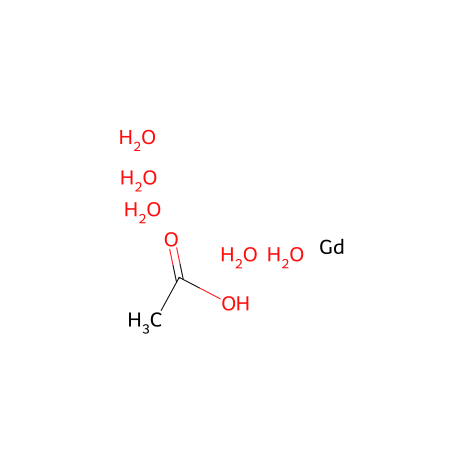 CC(=O)O.O.O.O.O.O.[Gd]